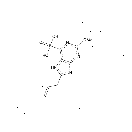 C=CCc1nc2nc(OC)nc(P(=O)(O)O)c2[nH]1